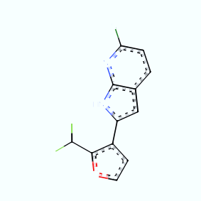 FC(F)c1occc1-c1cc2ccc(Cl)nc2[nH]1